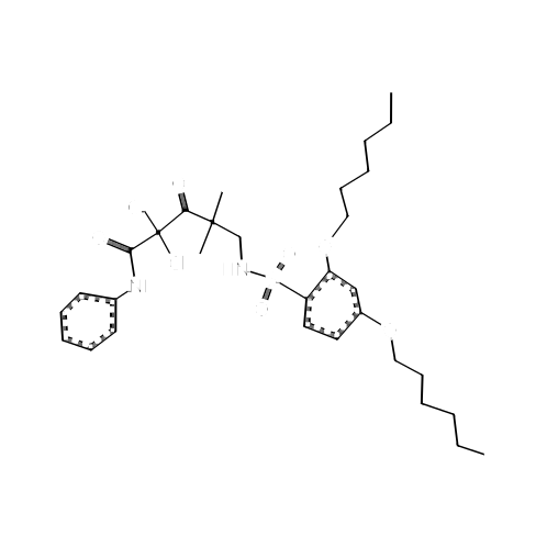 CCCCCCOc1ccc(S(=O)(=O)NCC(C)(C)C(=O)C(Cl)(Cl)C(=O)Nc2ccccc2)c(OCCCCCC)c1